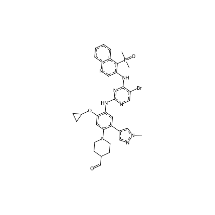 Cn1cc(-c2cc(Nc3ncc(Br)c(Nc4cnc5ccccc5c4P(C)(C)=O)n3)c(OC3CC3)cc2N2CCC(C=O)CC2)cn1